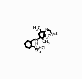 CCN(C)/C=N\c1cc(C)c(NCc2ccccc2OC(F)(F)F)cc1C.Cl